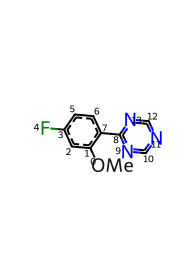 COc1cc(F)ccc1-c1ncncn1